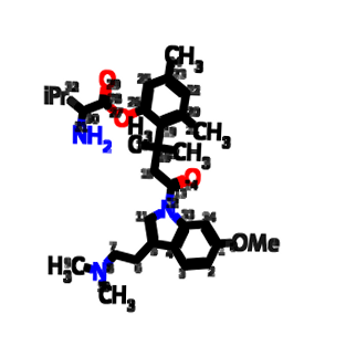 COc1ccc2c(CCN(C)C)cn(C(=O)CC(C)(C)c3c(C)cc(C)cc3OC(=O)C(N)C(C)C)c2c1